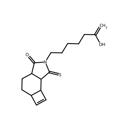 C=C(O)CCCCCN1C(=O)C2CCC3C=CC3C2C1=S